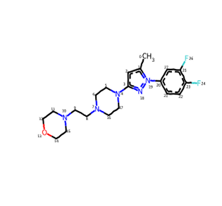 Cc1cc(N2CCN(CCN3CCOCC3)CC2)nn1-c1ccc(F)c(F)c1